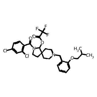 CC(C)COc1ccccc1CN1CCC2(CC1)CCN(C(=O)c1ccc(Cl)cc1Cl)C2OC(=O)C(F)(F)F